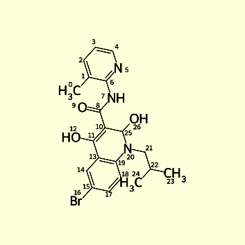 Cc1cccnc1NC(=O)C1=C(O)c2cc(Br)ccc2N(CC(C)C)C1O